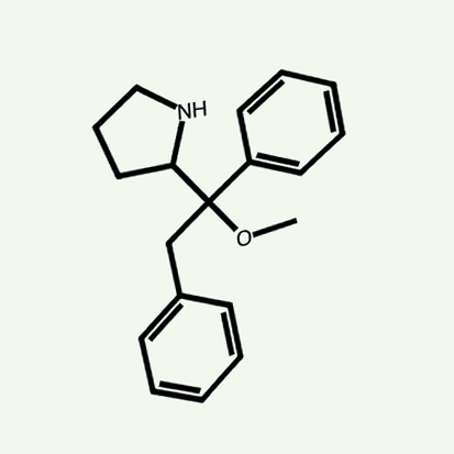 COC(Cc1ccccc1)(c1ccccc1)C1CCCN1